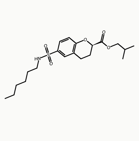 CCCCCCNS(=O)(=O)c1ccc2c(c1)CC[C@H](C(=O)OCC(C)C)O2